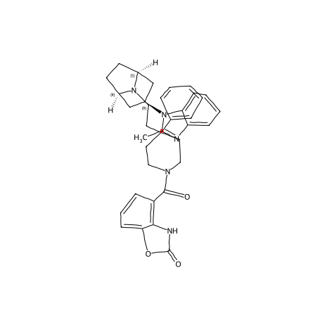 Cc1nc2ccccc2n1[C@H]1C[C@H]2CC[C@@H](C1)N2CCC1(c2ccccc2)CCN(C(=O)c2cccc3oc(=O)[nH]c23)CC1